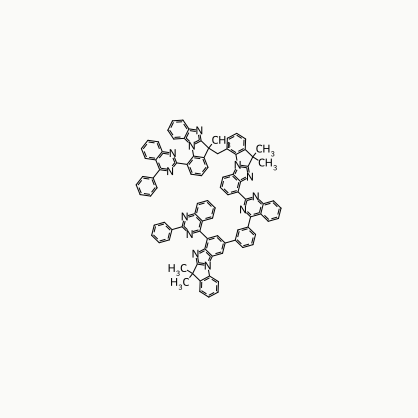 CC1(C)c2ccccc2-n2c1nc1c(-c3nc(-c4ccccc4)nc4ccccc34)cc(-c3cccc(-c4nc(-c5cccc6c5nc5n6-c6c(CC7(C)c8cccc(-c9nc(-c%10ccccc%10)c%10ccccc%10n9)c8-n8c7nc7ccccc78)cccc6C5(C)C)nc5ccccc45)c3)cc12